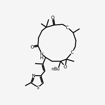 CCCCC12CC(C(C)=Cc3csc(C)n3)NC(=O)CCC(C)(C)C(=O)CCC(C)CCCC1(C)O2